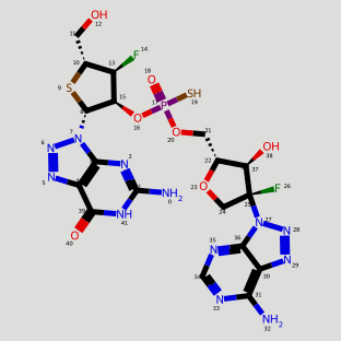 Nc1nc2c(nnn2[C@@H]2S[C@H](CO)[C@@H](F)[C@H]2OP(=O)(S)OC[C@H]2OC[C@@](F)(n3nnc4c(N)ncnc43)[C@@H]2O)c(=O)[nH]1